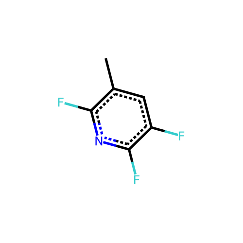 Cc1cc(F)c(F)nc1F